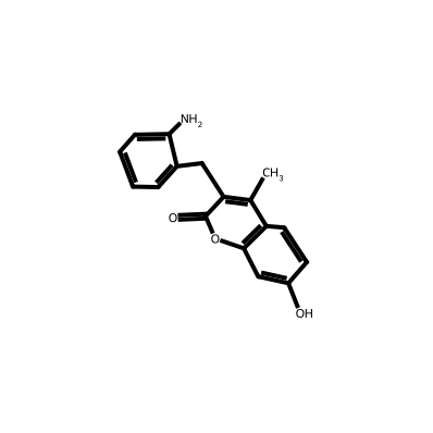 Cc1c(Cc2ccccc2N)c(=O)oc2cc(O)ccc12